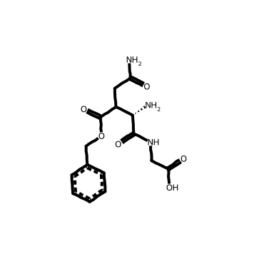 NC(=O)CC(C(=O)OCc1ccccc1)[C@H](N)C(=O)NCC(=O)O